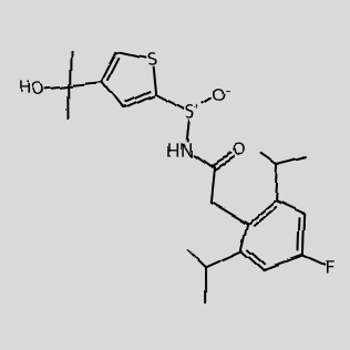 CC(C)c1cc(F)cc(C(C)C)c1CC(=O)N[S+]([O-])c1cc(C(C)(C)O)cs1